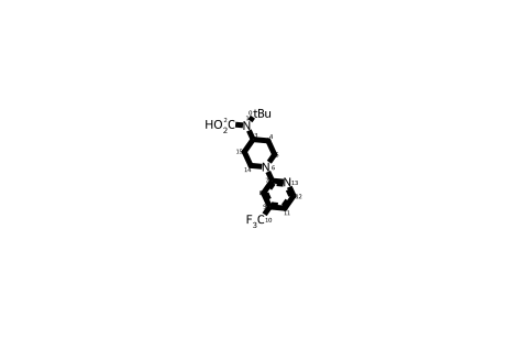 CC(C)(C)N(C(=O)O)C1CCN(c2cc(C(F)(F)F)ccn2)CC1